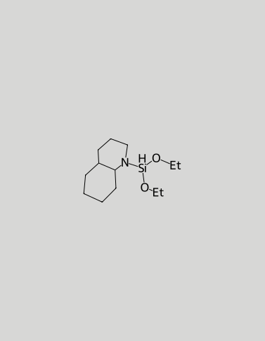 CCO[SiH](OCC)N1CCCC2CCCCC21